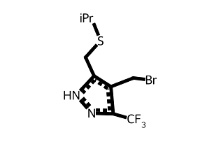 CC(C)SCc1[nH]nc(C(F)(F)F)c1CBr